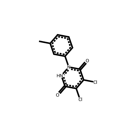 Cc1cccc(-n2[nH]c(=O)c(Cl)c(Cl)c2=O)c1